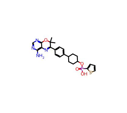 CC1(C)Oc2ncnc(N)c2N=C1c1ccc(C2CCC(OP(=O)(O)c3cccs3)CC2)cc1